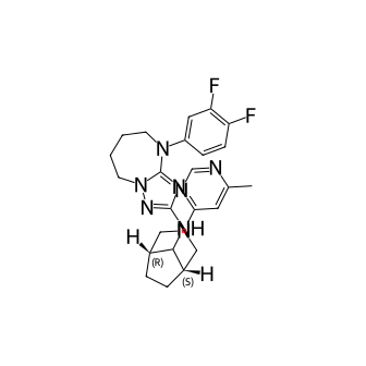 Cc1cc(N2C[C@H]3CC[C@@H](C2)C3Nc2nc3n(n2)CCCCN3c2ccc(F)c(F)c2)ncn1